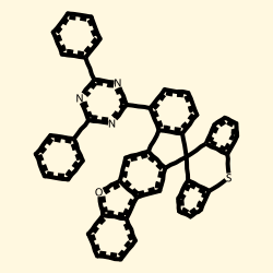 c1ccc(-c2nc(-c3ccccc3)nc(-c3cccc4c3-c3cc5oc6ccccc6c5cc3C43c4ccccc4Sc4ccccc43)n2)cc1